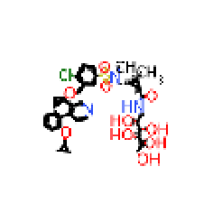 C[C@H]1[C@@H](CN(C)S(=O)(=O)c2ccc(Cl)c(COC3(c4cnccc4-c4ccccc4OC4CC4)CC3)c2)[C@@H]1C(=O)NC[C@H](O)[C@@H](O)[C@H](O)[C@H](O)CO